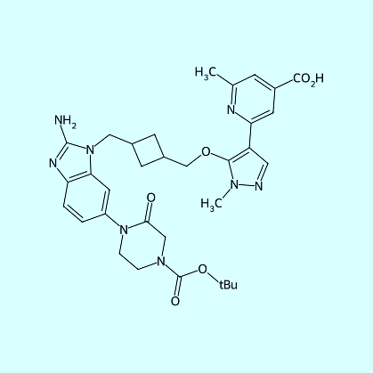 Cc1cc(C(=O)O)cc(-c2cnn(C)c2OCC2CC(Cn3c(N)nc4ccc(N5CCN(C(=O)OC(C)(C)C)CC5=O)cc43)C2)n1